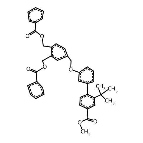 COC(=O)c1ccc(-c2cccc(OCc3ccc(COC(=O)c4ccccc4)c(COC(=O)c4ccccc4)c3)c2)c(C(C)(C)C)c1